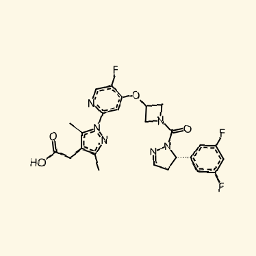 Cc1nn(-c2cc(OC3CN(C(=O)N4N=CC[C@H]4c4cc(F)cc(F)c4)C3)c(F)cn2)c(C)c1CC(=O)O